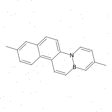 CC1=CB2C=Cc3c(ccc4cc(C)ccc34)N2C=C1